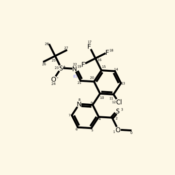 COC(=S)c1cccnc1-c1c(Cl)ccc(C(F)(F)F)c1/C=N/[S+]([O-])C(C)(C)C